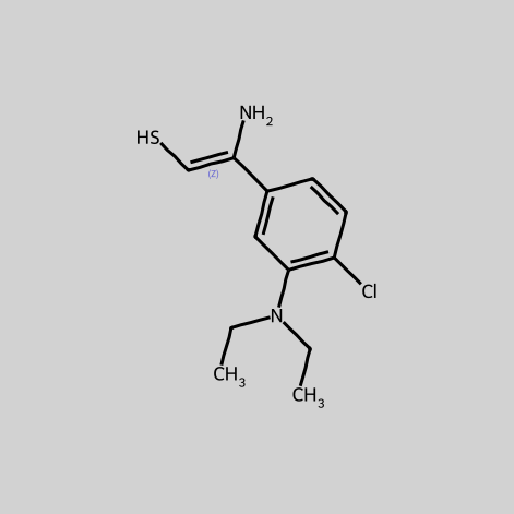 CCN(CC)c1cc(/C(N)=C/S)ccc1Cl